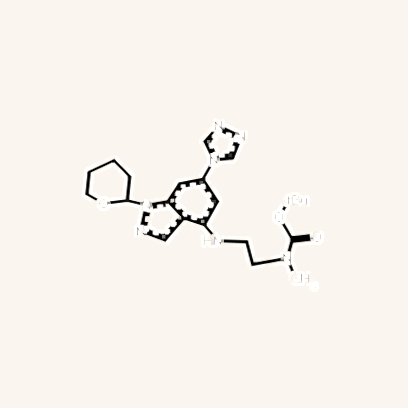 CN(CCNc1cc(-n2cnnc2)cc2c1cnn2C1CCCCO1)C(=O)OC(C)(C)C